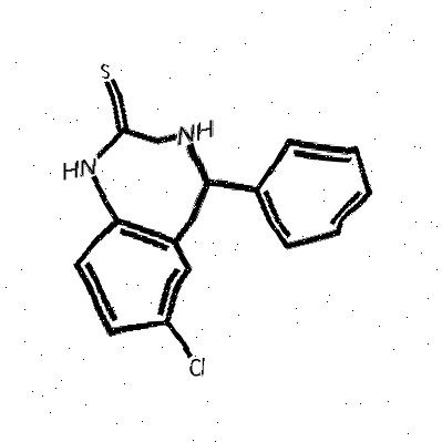 S=C1Nc2ccc(Cl)cc2C(c2ccccc2)N1